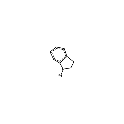 [2H]N1CCc2ccccc21